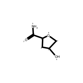 NC(=O)C1[CH]C(O)CO1